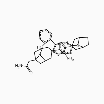 NC(=O)CC12CC3CC(c4cnc(N5C6CCC5CN(c5cc(-c7ccccc7O)nnc5N)C6)nc4)CC(C1)N32